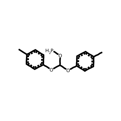 Cc1ccc(OC(OP)Oc2ccc(C)cc2)cc1